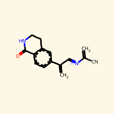 C=C(C#N)/N=C/C(=C)c1ccc2c(c1)CCNC2=O